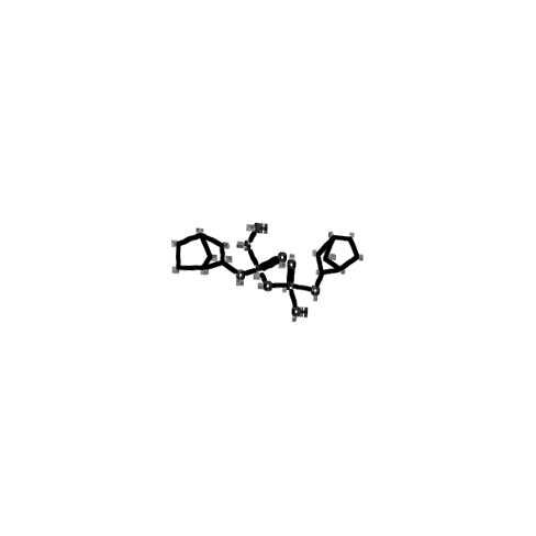 O=P(O)(OC1CC2CCC1C2)OP(=O)(OC1CC2CCC1C2)SS